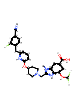 Cn1c(CN2CCC(Oc3cccc(Cc4ccc(C#N)cc4F)n3)CC2)nc2c(OC(F)F)cc(C(=O)O)cc21